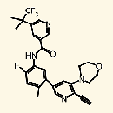 C#Cc1ncc(-c2cc(NC(=O)c3cncc(C(C)(C)C(F)(F)F)c3)c(F)cc2C)cc1N1CCOCC1